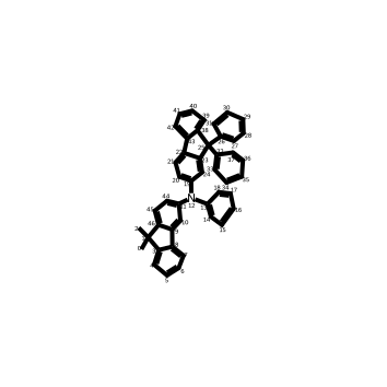 CC1(C)c2ccccc2-c2cc(N(c3ccccc3)c3ccc4c(c3)C(c3ccccc3)(c3ccccc3)c3ccccc3-4)ccc21